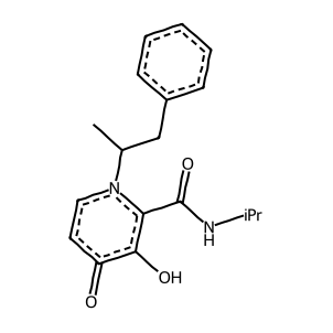 CC(C)NC(=O)c1c(O)c(=O)ccn1C(C)Cc1ccccc1